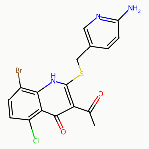 CC(=O)c1c(SCc2ccc(N)nc2)[nH]c2c(Br)ccc(Cl)c2c1=O